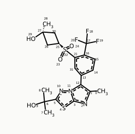 Cc1nc2sc(C(C)(C)O)nn2c1-c1ccc(C(F)(F)F)c(S(=O)(=O)[C@H]2C[C@@](C)(O)C2)c1